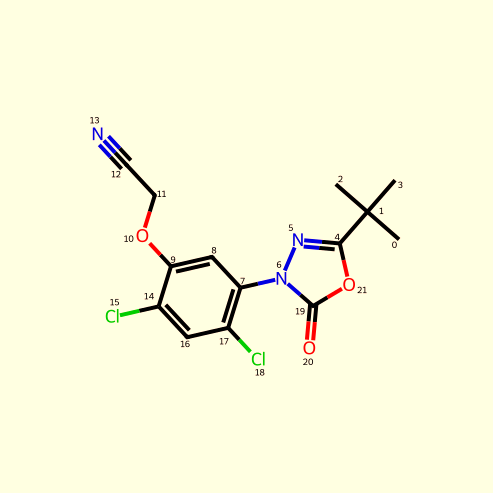 CC(C)(C)c1nn(-c2cc(OCC#N)c(Cl)cc2Cl)c(=O)o1